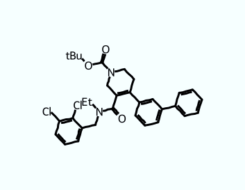 CCN(Cc1cccc(Cl)c1Cl)C(=O)C1=C(c2cccc(-c3ccccc3)c2)CCN(C(=O)OC(C)(C)C)C1